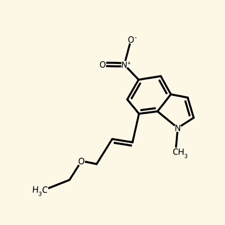 CCOCC=Cc1cc([N+](=O)[O-])cc2ccn(C)c12